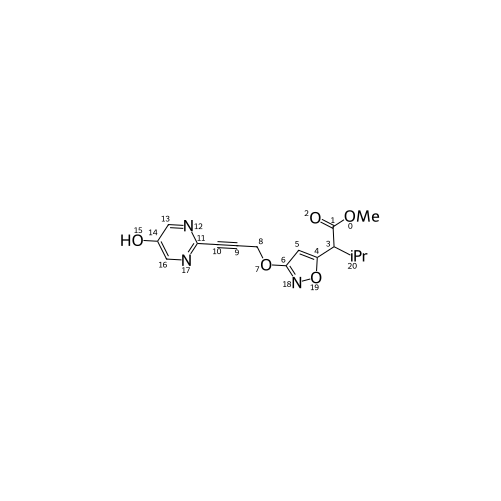 COC(=O)C(c1cc(OCC#Cc2ncc(O)cn2)no1)C(C)C